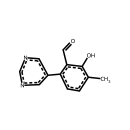 Cc1ccc(-c2cncnc2)c(C=O)c1O